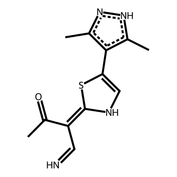 CC(=O)/C(C=N)=C1/NC=C(c2c(C)n[nH]c2C)S1